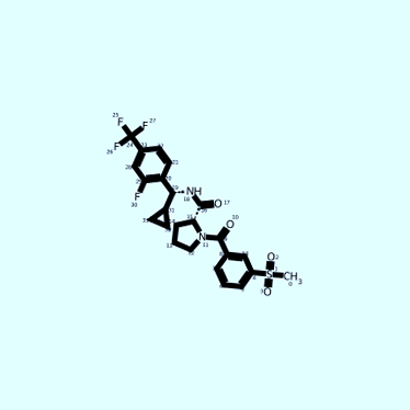 CS(=O)(=O)c1cccc(C(=O)N2CCC[C@@H]2C(=O)N[C@@H](c2ccc(C(F)(F)F)cc2F)C2CC2)c1